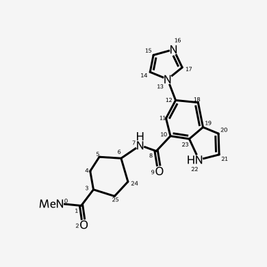 CNC(=O)C1CCC(NC(=O)c2cc(-n3ccnc3)cc3cc[nH]c23)CC1